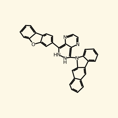 c1ccc2cc3c(cc2c1)c1ccccc1n3C1=c2nccnc2=C(c2ccc3c(c2)oc2ccccc23)NN1